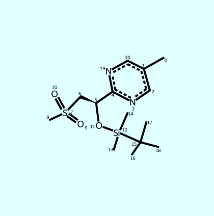 Cc1cnc([C@H](CS(C)(=O)=O)O[Si](C)(C)C(C)(C)C)nc1